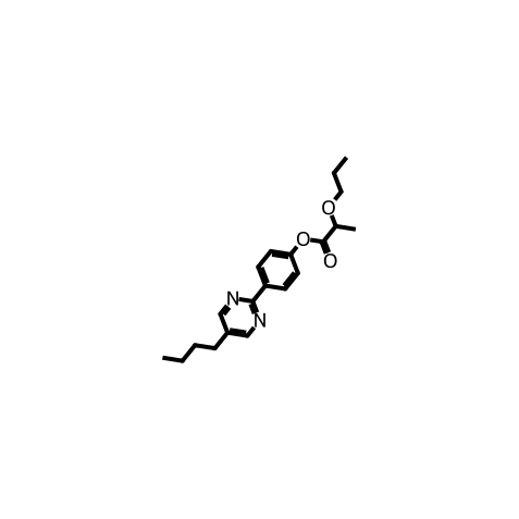 CCCCc1cnc(-c2ccc(OC(=O)C(C)OCCC)cc2)nc1